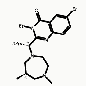 CCC[C@H](c1nc2ccc(Br)cc2c(=O)n1CC)N1CCN(C)C[C@@H](C)C1